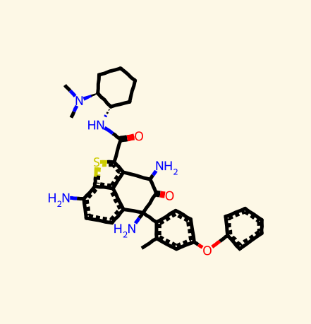 Cc1cc(Oc2ccccc2)ccc1C1(N)C(=O)C(N)c2c(C(=O)N[C@H]3CCCC[C@@H]3N(C)C)sc3c(N)ccc1c23